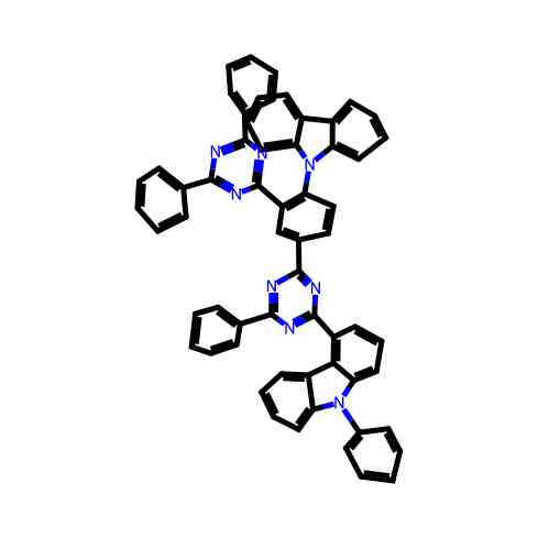 c1ccc(-c2nc(-c3ccccc3)nc(-c3cc(-c4nc(-c5ccccc5)nc(-c5cccc6c5c5ccccc5n6-c5ccccc5)n4)ccc3-n3c4ccccc4c4ccccc43)n2)cc1